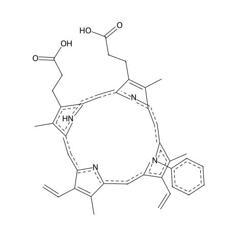 C=CC1=C(C)c2cc3c(C=C)c(C)c(cc4nc(cc5[nH]c(cc1n2)c(C)c5CCC(=O)O)C(CCC(=O)O)=C4C)n3-c1ccccc1